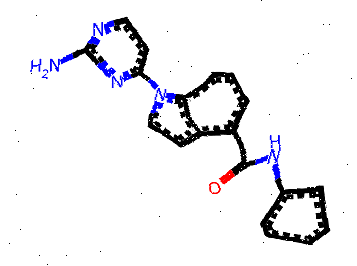 Nc1nccc(-n2ccc3c(C(=O)Nc4ccccc4)cccc32)n1